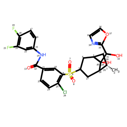 C[C@H]1CC2CC(S(=O)(=O)c3cc(C(=O)Nc4ccc(F)c(F)c4)ccc3Cl)CC1[C@@]2(O)C(O)c1ncco1